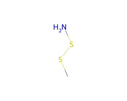 CSSN